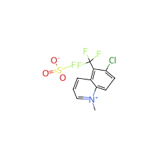 C[n+]1cccc2c(C(F)(F)F)c(Cl)ccc21.O=S(=O)([O-])F